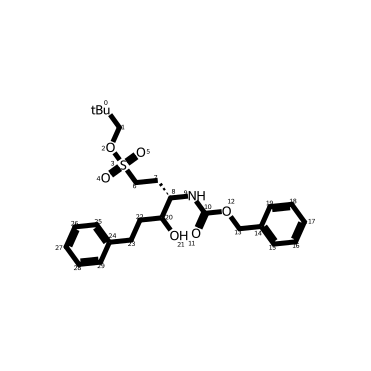 CC(C)(C)COS(=O)(=O)CC[C@H](NC(=O)OCc1ccccc1)C(O)CCc1ccccc1